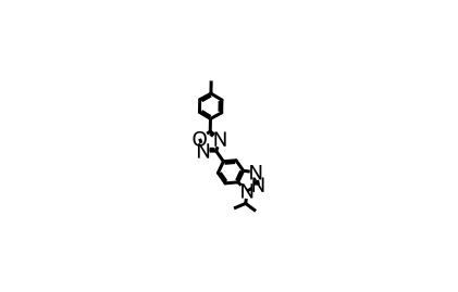 Cc1ccc(-c2nc(-c3ccc4c(c3)nnn4C(C)C)no2)cc1